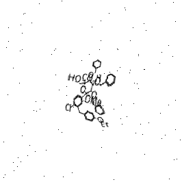 CCOc1ccc(Cc2cc([C@]3(OC)O[C@@](CO)(C(=O)O)[C@@H](OCc4ccccc4)[C@H](OCc4ccccc4)[C@H]3OCc3ccccc3)ccc2Cl)cc1